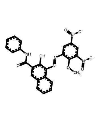 COc1c(N=Nc2c(O)c(C(=O)Nc3ccccc3)cc3ccccc23)cc([N+](=O)[O-])cc1[N+](=O)[O-]